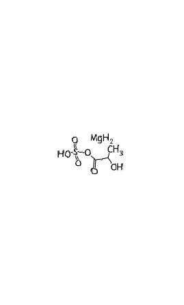 CC(O)C(=O)OS(=O)(=O)O.[MgH2]